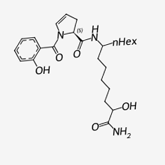 CCCCCCC(CCCCCC(O)C(N)=O)NC(=O)[C@@H]1CC=CN1C(=O)c1ccccc1O